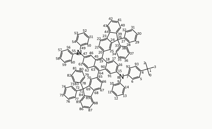 CC(C)(C)c1ccc(N(c2ccccc2)c2ccc3c(-c4ccc5c(c4)C(c4ccccc4)(c4ccccc4)c4ccccc4-5)c4cc(N(c5ccccc5)c5ccccc5)ccc4c(-c4ccc5c(c4)C(c4ccccc4)(c4ccccc4)c4ccccc4-5)c3c2)cc1